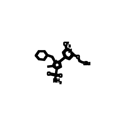 Cc1c(S(N)(=O)=O)cc(-c2cc(OCC(C)(C)C)nc(C(F)(F)F)c2)n1CC1CCCCC1